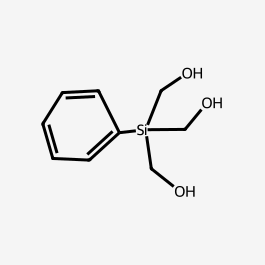 OC[Si](CO)(CO)c1ccccc1